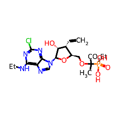 C=C[C@H]1[C@@H](O)[C@H](n2cnc3c(NCC)nc(Cl)nc32)O[C@@H]1COC(C)(C(=O)OCC)P(=O)(O)O